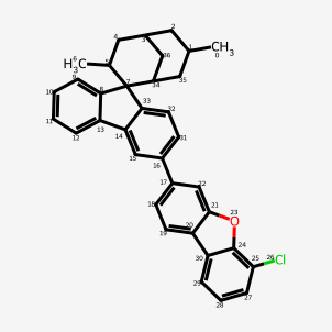 CC1CC2CC(C)C3(c4ccccc4-c4cc(-c5ccc6c(c5)oc5c(Cl)cccc56)ccc43)C(C1)C2